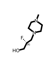 CN1CCN(C[C@@H](F)CO)CC1